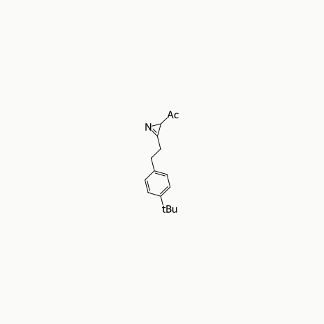 CC(=O)C1N=C1CCc1ccc(C(C)(C)C)cc1